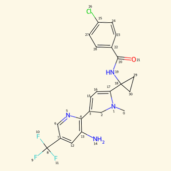 CN1CC(c2ncc(C(F)(F)F)cc2N)=CC=C1C1(NC(=O)c2ccc(Cl)cc2)CC1